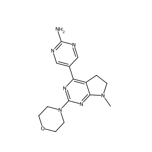 CN1CCc2c(-c3cnc(N)nc3)nc(N3CCOCC3)nc21